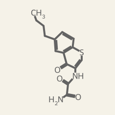 CCCCc1ccc2scc(NC(=O)C(N)=O)c(=O)c2c1